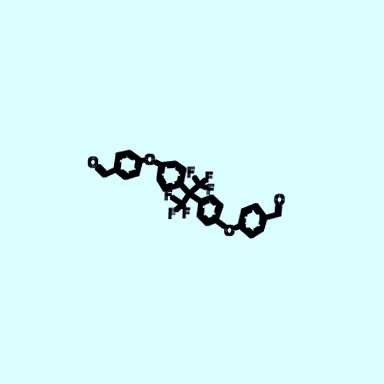 O=Cc1ccc(Oc2ccc(C(c3ccc(Oc4ccc(C=O)cc4)cc3)(C(F)(F)F)C(F)(F)F)cc2)cc1